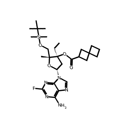 CC[C@]1(OC(=O)C2CC3(CCC3)C2)C[C@H](n2cnc3c(N)nc(F)nc32)O[C@]1(C)CO[Si](C)(C)C(C)(C)C